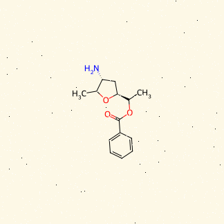 CC1O[C@H](C(C)OC(=O)c2ccccc2)C[C@H]1N